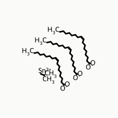 CC(C)[CH2][Sn+3].CCCCCCCC/C=C\CCCCCCCC(=O)[O-].CCCCCCCC/C=C\CCCCCCCC(=O)[O-].CCCCCCCC/C=C\CCCCCCCC(=O)[O-]